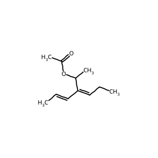 CC=CC(=CCC)C(C)OC(C)=O